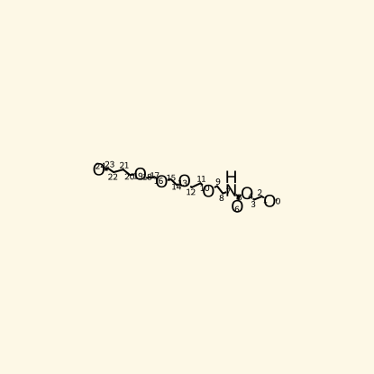 COCCOC(=O)NCCOCCOCCOCCOCCCC=O